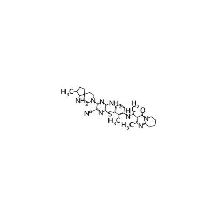 C=C(Nc1cccc(Sc2nc(C#N)c(N3CCC4(CCC(C)C4N)CC3)nc2N)c1C)c1c(C)nc2n(c1=O)CCCC2